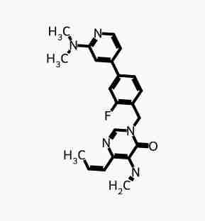 C=Nc1c(/C=C\C)ncn(Cc2ccc(-c3ccnc(N(C)C)c3)cc2F)c1=O